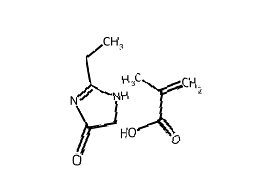 C=C(C)C(=O)O.CCC1=NC(=O)CN1